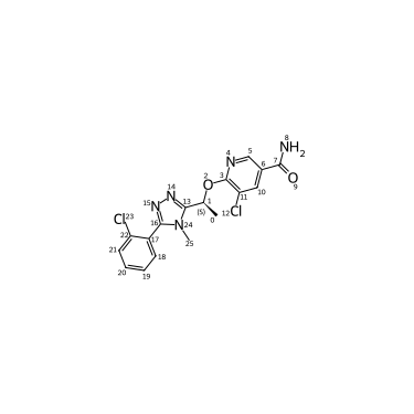 C[C@H](Oc1ncc(C(N)=O)cc1Cl)c1nnc(-c2ccccc2Cl)n1C